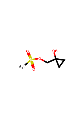 CS(=O)(=O)OCC1(O)CC1